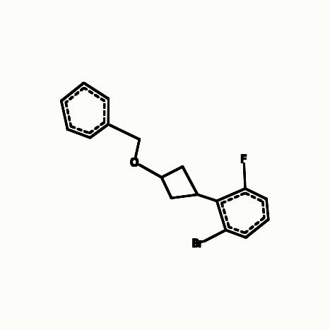 Fc1cccc(Br)c1C1CC(OCc2ccccc2)C1